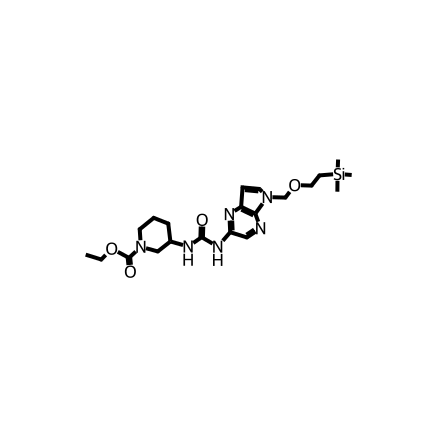 CCOC(=O)N1CCCC(NC(=O)Nc2cnc3c(ccn3COCC[Si](C)(C)C)n2)C1